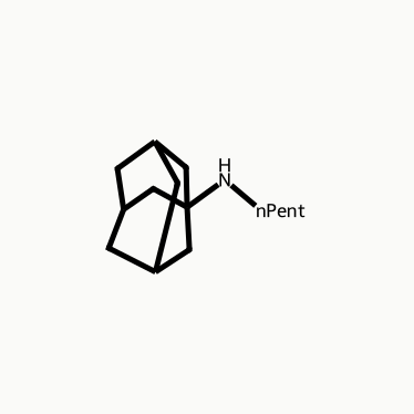 CCCCCNC12CC3CC(CC(C3)C1)C2